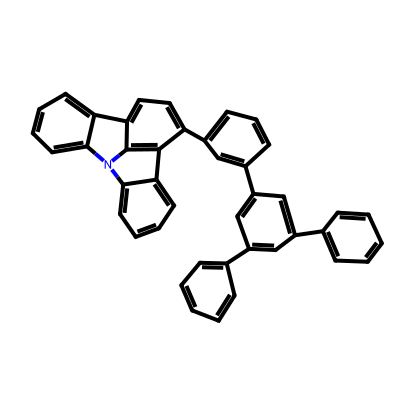 c1ccc(-c2cc(-c3ccccc3)cc(-c3cccc(-c4ccc5c6ccccc6n6c7ccccc7c4c56)c3)c2)cc1